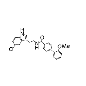 COc1ccccc1-c1ccc(C(=O)NCCc2c[nH]c3ccc(Cl)cc23)cc1